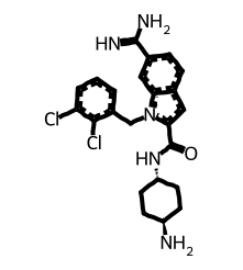 N=C(N)c1ccc2cc(C(=O)N[C@H]3CC[C@H](N)CC3)n(Cc3cccc(Cl)c3Cl)c2c1